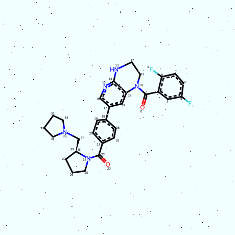 O=C(c1cc(F)ccc1F)N1CCNc2ncc(-c3ccc(C(=O)N4CCC[C@H]4CN4CCCC4)cc3)cc21